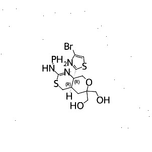 OCC1(CO)C[C@H]2CSC(NP)=N[C@@]2(c2nc(Br)cs2)CO1